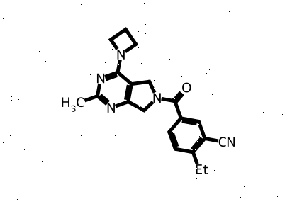 CCc1ccc(C(=O)N2Cc3nc(C)nc(N4CCC4)c3C2)cc1C#N